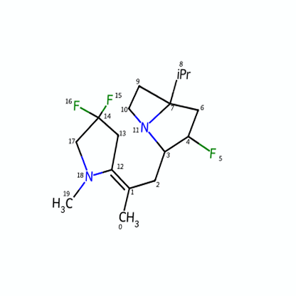 CC(CC1C(F)CC2(C(C)C)CCN12)=C1CC(F)(F)CN1C